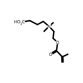 C=C(C)C(=O)OCC[N+](C)(C)CCCC(=O)O